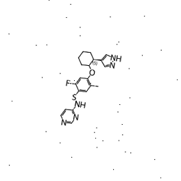 Cc1cc(SNc2ccncn2)c(F)cc1OC1CCCC[C@H]1c1cn[nH]c1